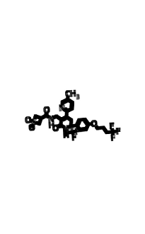 Cc1ccc(C2=C(CNC(=O)C3CS(=O)(=O)C3)C(=O)N[C@@](c3ccc(OCCCC(F)(F)F)cc3)(C(F)(F)F)C2)nc1